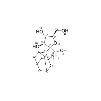 NC12CC3CC(CC(C3)C1C1(CO)O[C@H](CO)[C@@H](O)[C@@H]1O)C2